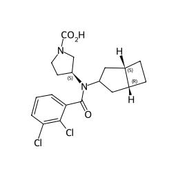 O=C(O)N1CC[C@H](N(C(=O)c2cccc(Cl)c2Cl)C2C[C@H]3CC[C@H]3C2)C1